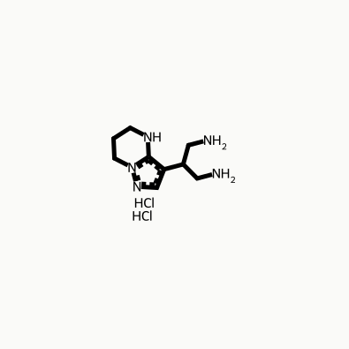 Cl.Cl.NCC(CN)c1cnn2c1NCCC2